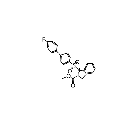 COC(=O)[C@@H]1Cc2ccccc2N1S(=O)(=O)c1ccc(-c2ccc(F)cc2)cc1